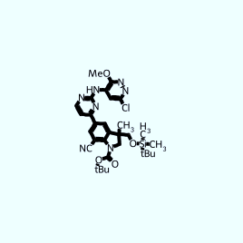 COc1nnc(Cl)cc1Nc1nccc(-c2cc(C#N)c3c(c2)C(C)(CO[Si](C)(C)C(C)(C)C)CN3C(=O)OC(C)(C)C)n1